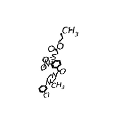 CCCCOC(=O)CSc1ccc(C(=O)N2CCN(c3cccc(Cl)c3)[C@H](C)C2)cc1[N+](=O)[O-]